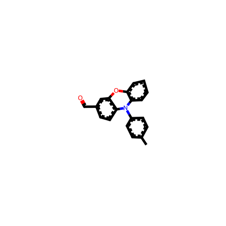 Cc1ccc(N2c3ccccc3Oc3cc(C=O)ccc32)cc1